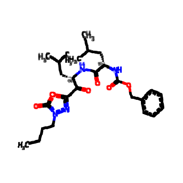 CCCCn1nc(C(=O)[C@H](CC(C)C)NC(=O)[C@H](CC(C)C)NC(=O)OCc2ccccc2)oc1=O